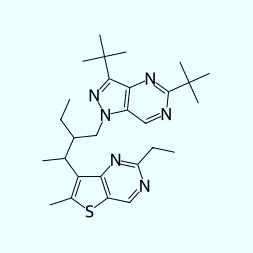 CCc1ncc2sc(C)c(C(C)C(CC)Cn3nc(C(C)(C)C)c4nc(C(C)(C)C)ncc43)c2n1